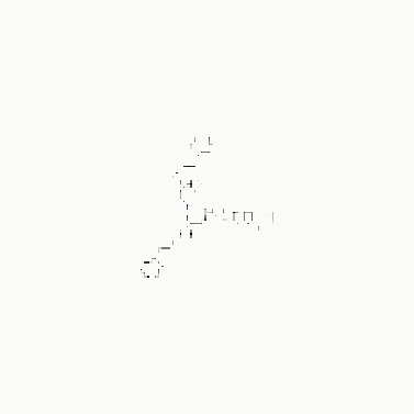 CN(CCc1ccccc1)C(=O)Cc1cc(OCC=Cc2ccccc2)cc(OCC(=O)O)c1